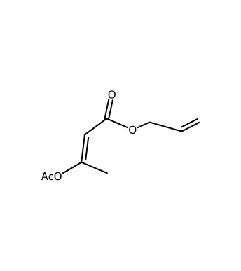 C=CCOC(=O)C=C(C)OC(C)=O